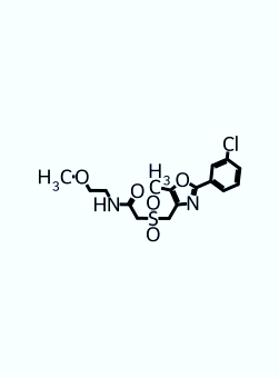 COCCNC(=O)CS(=O)(=O)Cc1nc(-c2cccc(Cl)c2)oc1C